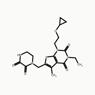 CCn1c(=O)c2c(C)c(CN3CCNC(=O)C3=O)sc2n(CCOC2CC2)c1=O